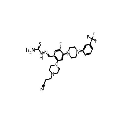 N#CCCN1CCN(c2cc(N3CCN(c4cccc(C(F)(F)F)c4)CC3)c(F)cc2C=NNC(N)=S)CC1